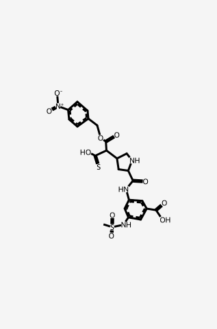 CS(=O)(=O)Nc1cc(NC(=O)C2CC(C(C(=O)OCc3ccc([N+](=O)[O-])cc3)C(O)=S)CN2)cc(C(=O)O)c1